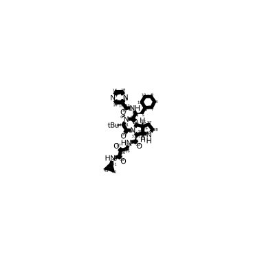 CN(C(=O)[C@H](CC1CCCCC1)NC(=O)c1cnccn1)[C@H](C(=O)N1C[C@@H]2CCN[C@@H]2[C@H]1C(=O)NCC(=O)C(=O)NC1CC1)C(C)(C)C